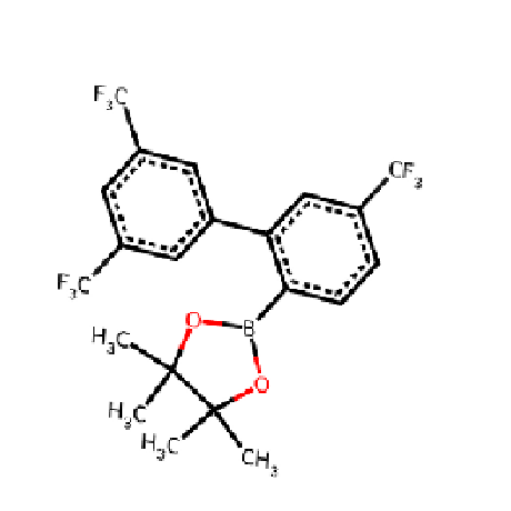 CC1(C)OB(c2ccc(C(F)(F)F)cc2-c2cc(C(F)(F)F)cc(C(F)(F)F)c2)OC1(C)C